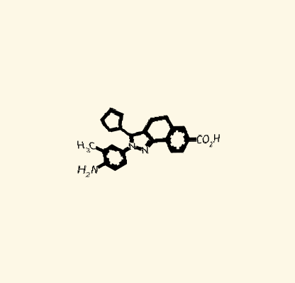 Cc1cc(N2N=C3c4ccc(C(=O)O)cc4CCC3C2C2CCCC2)ccc1N